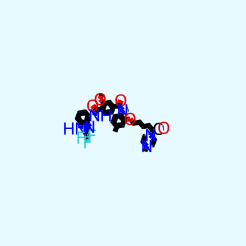 COc1cc(C(=O)N(C)c2ccc(C)cc2OCCCCC(=C=O)N2CCN(C)CC2)ccc1C(=O)Nc1cccc2[nH]c(C(F)(F)F)nc12